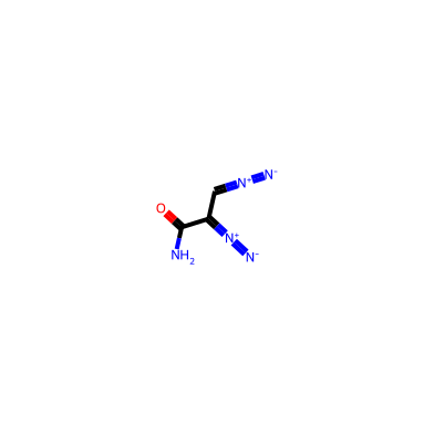 [N-]=[N+]=CC(=[N+]=[N-])C(N)=O